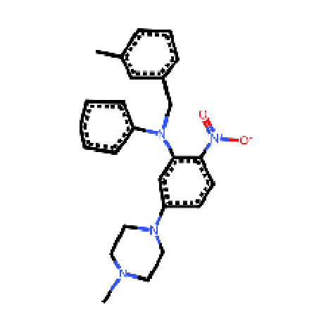 Cc1cccc(CN(c2ccccc2)c2cc(N3CCN(C)CC3)ccc2[N+](=O)[O-])c1